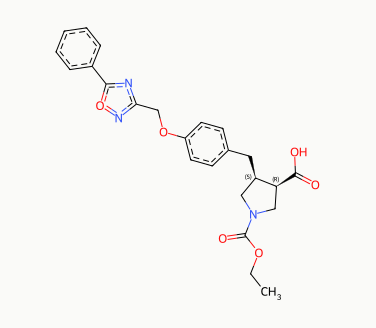 CCOC(=O)N1C[C@@H](Cc2ccc(OCc3noc(-c4ccccc4)n3)cc2)[C@@H](C(=O)O)C1